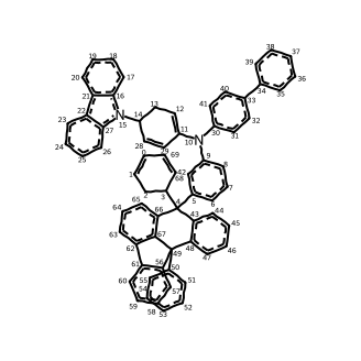 C1=CCC(C2(c3cccc(N(C4=CCC(n5c6ccccc6c6ccccc65)C=C4)c4ccc(-c5ccccc5)cc4)c3)c3ccccc3C3(c4ccccc4)c4ccccc4-c4cccc2c43)C=C1